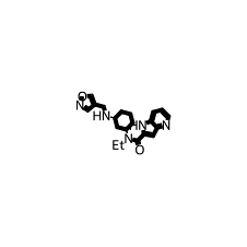 CCN(C(=O)c1cc2ncccc2[nH]1)[C@H]1CCC[C@@H](NCc2cnoc2)C1